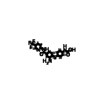 Nc1cc(C(=O)Nc2ccc(C(F)(F)F)cn2)ccc1Sc1ccc(NC(=O)O)cc1